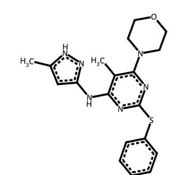 Cc1cc(Nc2nc(Sc3ccccc3)nc(N3CCOCC3)c2C)n[nH]1